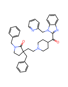 O=C(c1nc2ccccc2n1Cc1ccccn1)C1CCN(CCC2(Cc3ccccc3)CCN(Cc3ccccc3)C2=O)CC1